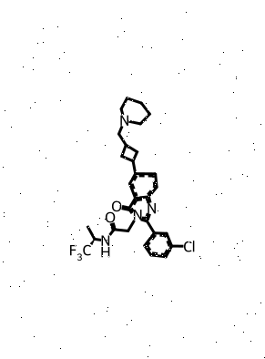 C[C@@H](NC(=O)Cn1c(-c2cccc(Cl)c2)nc2ccc(C3CC(CN4CCCCC4)C3)cc2c1=O)C(F)(F)F